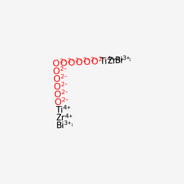 [Bi+3].[Bi+3].[O-2].[O-2].[O-2].[O-2].[O-2].[O-2].[O-2].[O-2].[O-2].[O-2].[O-2].[Ti+4].[Ti+4].[Zr+4].[Zr+4]